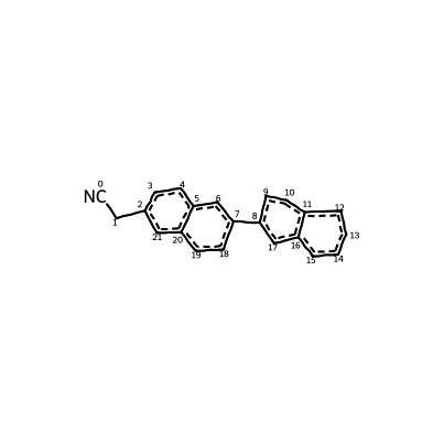 N#CCc1ccc2cc(-c3ccc4ccccc4c3)ccc2c1